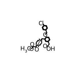 COC(=O)C(=O)N1CCN(Cc2cc(CC(=O)O)ccc2OCc2ccc(Cl)cc2)CC1